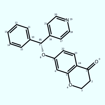 O=C1CCOc2cc(O[C@H](c3ccccc3)c3ccncc3)ccc21